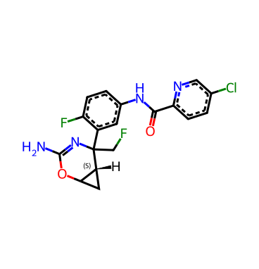 NC1=NC(CF)(c2cc(NC(=O)c3ccc(Cl)cn3)ccc2F)[C@@H]2CC2O1